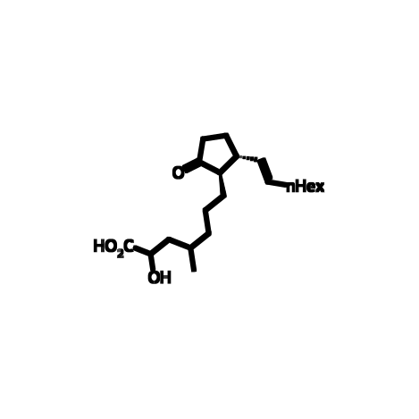 CCCCCCC=C[C@H]1CCC(=O)[C@@H]1CCCC(C)CC(O)C(=O)O